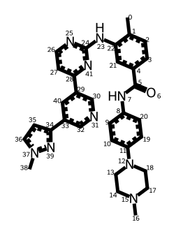 Cc1ccc(C(=O)Nc2ccc(N3CCN(C)CC3)cc2)cc1Nc1nccc(-c2cncc(-c3ccn(C)n3)c2)n1